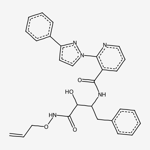 C=CCONC(=O)C(O)C(Cc1ccccc1)NC(=O)c1cccnc1-n1ccc(-c2ccccc2)n1